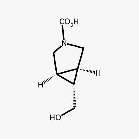 O=C(O)N1C[C@@H]2[C@@H](CO)[C@@H]2C1